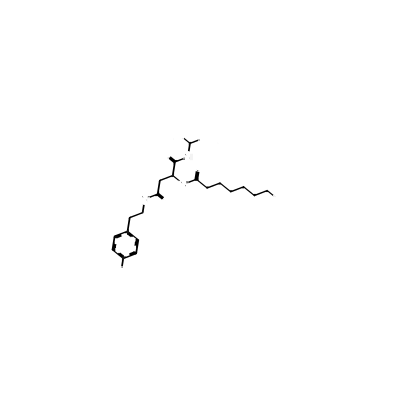 CCCCCCCC(=O)NC(CC(=O)NCCc1ccc(O)cc1)C(=O)NC(C)C